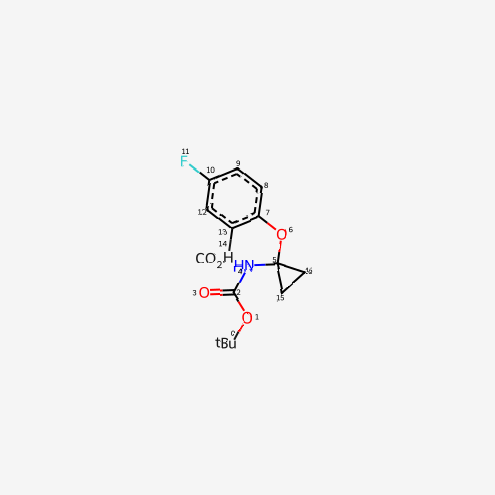 CC(C)(C)OC(=O)NC1(Oc2ccc(F)cc2C(=O)O)CC1